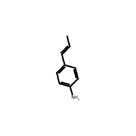 [CH2]/C=C/c1ccc(N)cc1